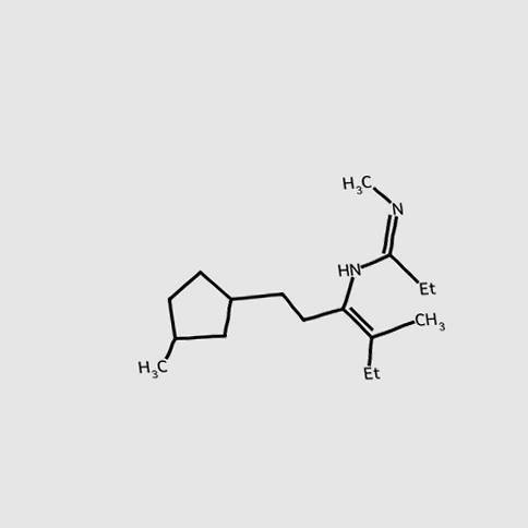 CC/C(=N/C)N/C(CCC1CCC(C)C1)=C(\C)CC